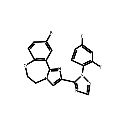 Fc1ccc(-n2ncnc2-c2cn3c(n2)-c2cc(Br)ccc2OCC3)c(F)c1